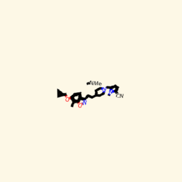 CNC.Cc1c(OCC2CC2)ccc2c(CCC3CCN(Cc4ccc(C#N)n4C)CC3)noc12